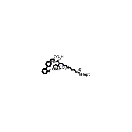 CCCCCCC[S+]([O-])CCCCCC/C=C/[C@H](C(=O)N[C@@H](Cc1ccc(-c2ccccc2F)cc1)C(=O)O)[C@@](O)(CCOC)C(=O)O